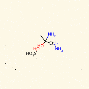 CCC(C)(N)O.N.N.O=S(=O)(O)O